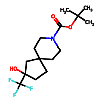 CC(C)(C)OC(=O)N1CCC2(CC1)CCC(O)(C(F)(F)F)C2